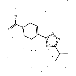 CC(C)c1noc(C2=CCN(C(=O)O)CC2)n1